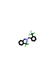 FC(F)(F)c1ccccc1CNCc1ccccc1C(F)(F)F